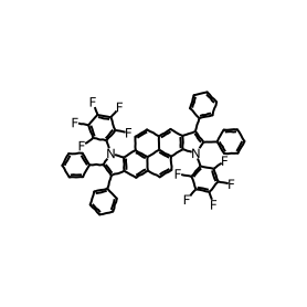 Fc1c(F)c(F)c(-n2c(-c3ccccc3)c(-c3ccccc3)c3cc4ccc5c6c(ccc(c46)c32)cc2c(-c3ccccc3)c(-c3ccccc3)n(-c3c(F)c(F)c(F)c(F)c3F)c25)c(F)c1F